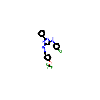 FC(F)(F)Oc1ccc(C=NNc2cc(Nc3ccc(Cl)cc3)nc(-c3ccccc3)n2)cc1